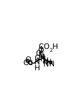 O=C(O)COCC(=O)N1CCN(c2ccnc(-n3ccnc3)n2)C(CC(=O)NCCc2ccc3c(c2)OCO3)C1